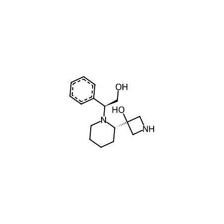 OC[C@H](c1ccccc1)N1CCCC[C@H]1C1(O)CNC1